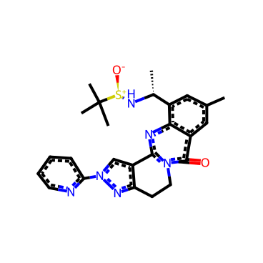 Cc1cc([C@@H](C)N[S@+]([O-])C(C)(C)C)c2nc3n(c(=O)c2c1)CCc1nn(-c2ccccn2)cc1-3